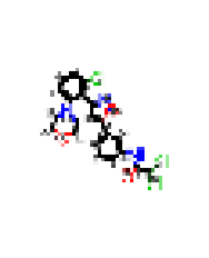 O=C(Nc1cccc(-c2cc(-c3c(Cl)cccc3N3CCOCC3)no2)c1)C(Cl)Cl